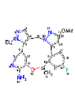 CCn1ncc2c1-c1cnc(N)c(c1)OC(C)c1cc(F)ccc1-c1cc(OC)nn1C2